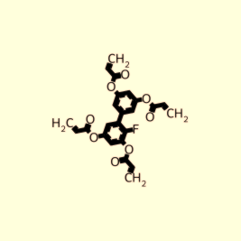 C=CC(=O)Oc1cc(OC(=O)C=C)cc(-c2cc(OC(=O)C=C)cc(OC(=O)C=C)c2F)c1